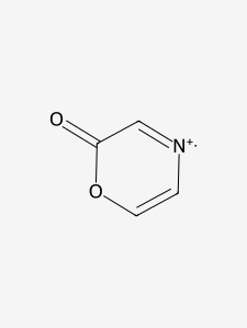 O=C1C=[N+]C=CO1